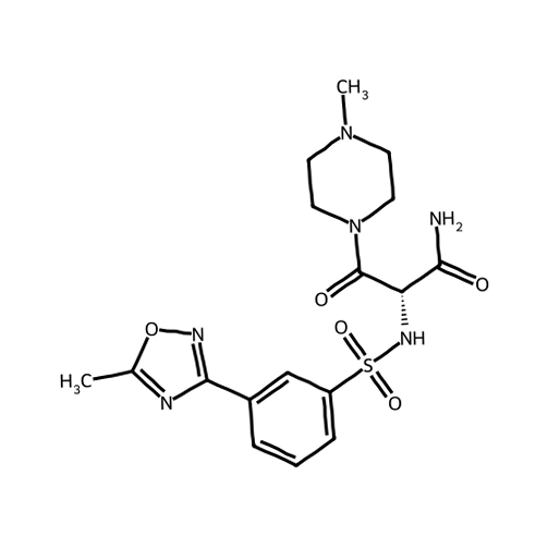 Cc1nc(-c2cccc(S(=O)(=O)N[C@@H](C(N)=O)C(=O)N3CCN(C)CC3)c2)no1